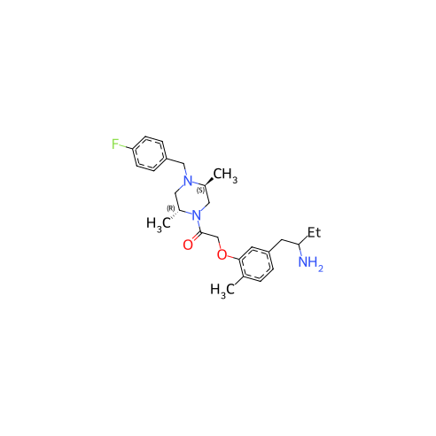 CCC(N)Cc1ccc(C)c(OCC(=O)N2C[C@H](C)N(Cc3ccc(F)cc3)C[C@H]2C)c1